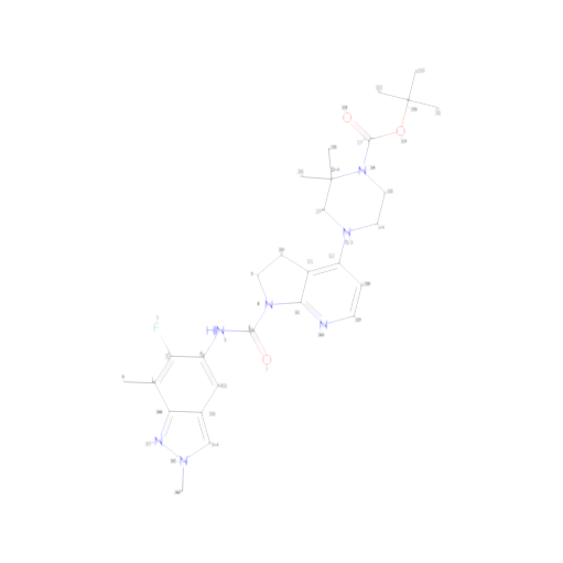 Cc1c(F)c(NC(=O)N2CCc3c(N4CCN(C(=O)OC(C)(C)C)C(C)(C)C4)ccnc32)cc2cn(C)nc12